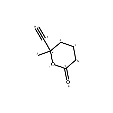 C#CC1(C)CCCC(=O)O1